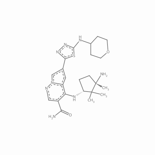 CC1(C)[C@H](Nc2c(C(N)=O)cnn3cc(-c4nnc(NC5CCOCC5)s4)cc23)CC[C@]1(C)N